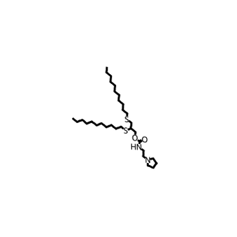 CCCCCCCCCCCSCC(COC(=O)NCCN1CCCC1)SCCCCCCCCCCC